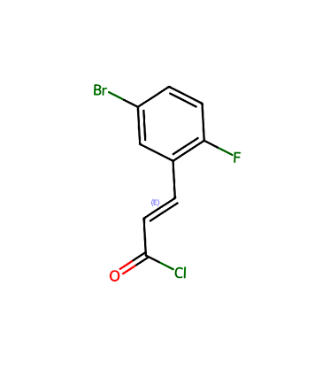 O=C(Cl)/C=C/c1cc(Br)ccc1F